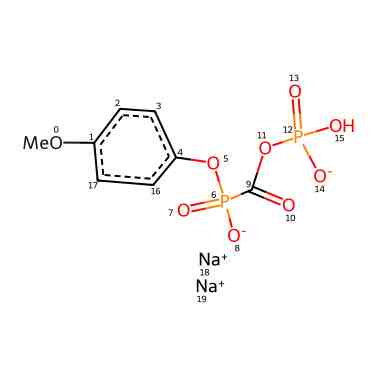 COc1ccc(OP(=O)([O-])C(=O)OP(=O)([O-])O)cc1.[Na+].[Na+]